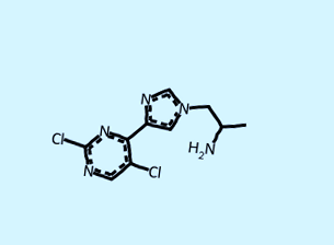 CC(N)Cn1cnc(-c2nc(Cl)ncc2Cl)c1